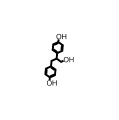 OCC(Cc1ccc(O)cc1)c1ccc(O)cc1